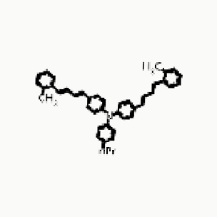 CCCc1ccc(N(c2ccc(/C=C/C=C/c3ccccc3C)cc2)c2ccc(/C=C/C=C/c3ccccc3C)cc2)cc1